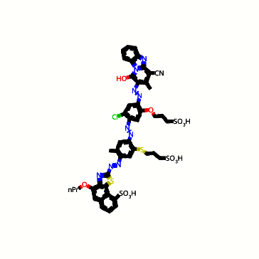 CCCOc1cc2cccc(S(=O)(=O)O)c2c2sc(N=Nc3cc(SCCCS(=O)(=O)O)c(N=Nc4cc(OCCCS(=O)(=O)O)c(N=Nc5c(C)c(C#N)c6nc7ccccc7n6c5O)cc4Cl)cc3C)nc12